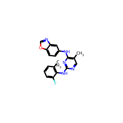 Cc1cnc(Nc2c(C)cccc2F)nc1Nc1ccc2ocnc2c1